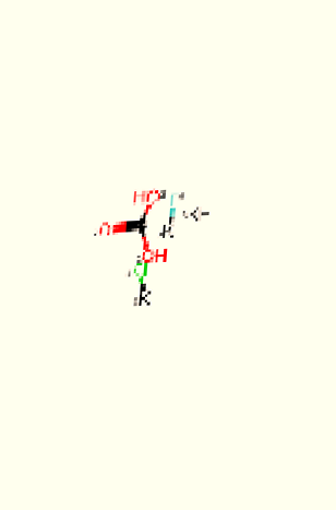 O=C(O)O.[Cl][K].[F][K].[KH]